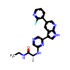 C[C@@H](Nc1cncc(-c2c[nH]c3ncc(-c4cccnc4F)cc23)n1)C(=O)NCC(F)(F)F